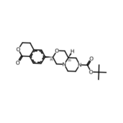 CC(C)(C)OC(=O)N1CCN2C[C@@H](c3ccc4c(c3)CCOC4=O)OC[C@@H]2C1